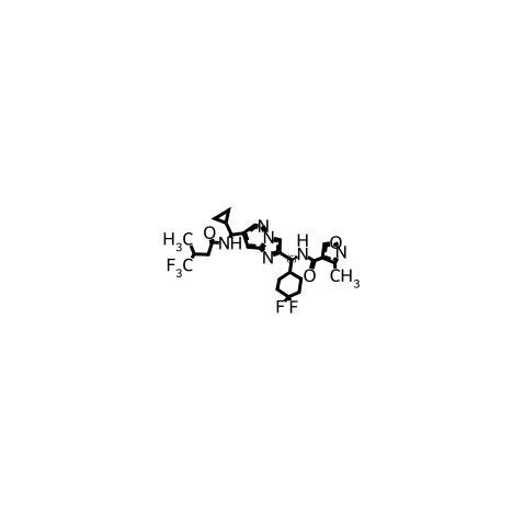 Cc1nocc1C(=O)N[C@H](c1cn2ncc(C(NC(=O)CC(C)C(F)(F)F)C3CC3)cc2n1)C1CCC(F)(F)CC1